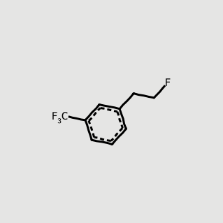 FCCc1cccc(C(F)(F)F)c1